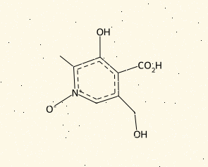 Cc1c(O)c(C(=O)O)c(CO)c[n+]1[O-]